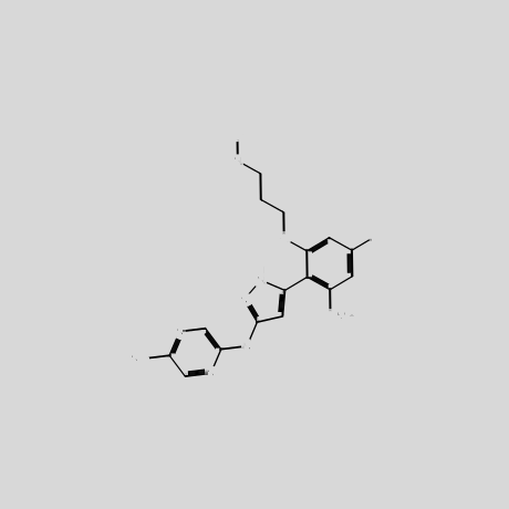 CCOC(=O)NCCCOc1cc(F)cc(OC)c1-c1cc(Nc2cnc(C#N)cn2)n[nH]1